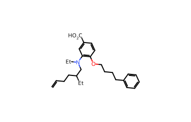 C=CCCC(CC)CN(CC)c1cc(C(=O)O)ccc1OCCCCc1ccccc1